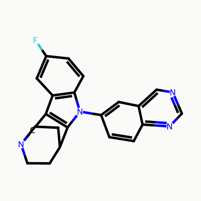 Fc1ccc2c(c1)c1c(n2-c2ccc3ncncc3c2)C2CCN(CC2)C1